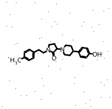 Cc1ccc(CCN2CCC(N3CCC(c4ccc(O)cc4)CC3)C2=O)cc1